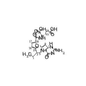 CCC(Cn1ccc2[nH]c(N)nc(=O)c21)c1ccc(C(=O)N[C@@H](CCC(=O)O)C(=O)O)o1